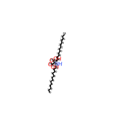 CCCCCCCCCCCCCCNCCCCCCCCCCCCCC.O=C(O)CC(=O)O